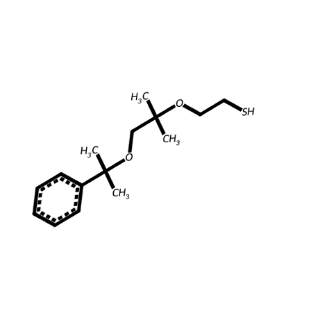 CC(C)(COC(C)(C)c1ccccc1)OCCS